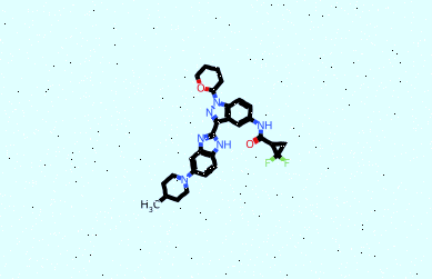 CC1CCN(c2ccc3[nH]c(-c4nn(C5CCCCO5)c5ccc(NC(=O)C6CC6(F)F)cc45)nc3c2)CC1